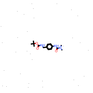 CN(C)C(=O)Nc1ccc(CNC(=O)OC(C)(C)C)cc1